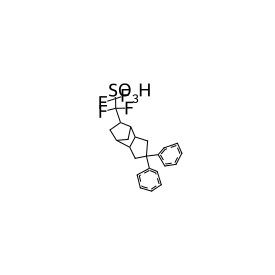 O=S(=O)(O)C(F)(F)C(F)(F)C1CC2CC1C1CC(c3ccccc3)(c3ccccc3)CC21